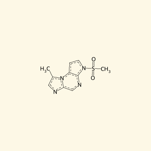 Cc1cnc2cnc3c(ccn3S(C)(=O)=O)n12